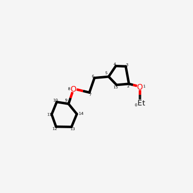 CCOC1CCC(CCOC2CCCCC2)C1